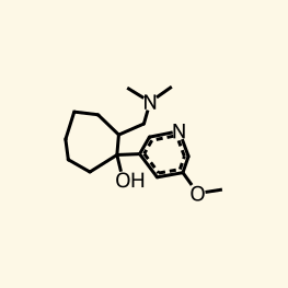 COc1cncc(C2(O)CCCCCC2CN(C)C)c1